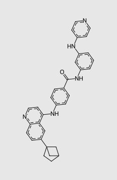 O=C(Nc1cccc(Nc2ccncc2)c1)c1ccc(Nc2ccnc3ccc(C45CCC(C4)C5)cc23)cc1